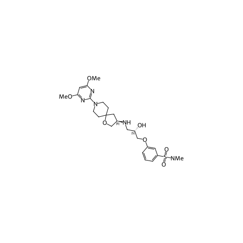 CNS(=O)(=O)c1cccc(OC[C@@H](O)CN[C@H]2COC3(CCN(c4nc(OC)cc(OC)n4)CC3)C2)c1